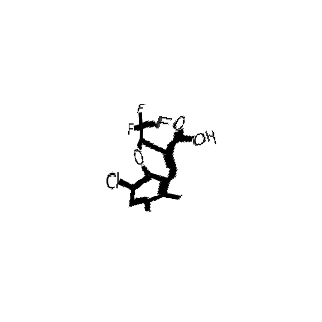 Cc1cc(Cl)c2c(c1C)C=C(C(=O)O)C(C(F)(F)F)O2